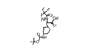 CC(C)(C)OC(=O)NC1CCC(C(NC(=O)C(F)(F)F)C(=O)O)CC1